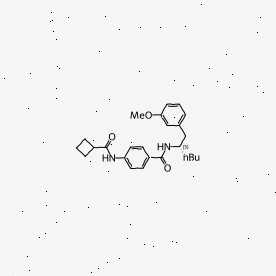 CCCC[C@@H](Cc1cccc(OC)c1)NC(=O)c1ccc(NC(=O)C2CCC2)cc1